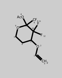 C=COC1CCOC(OC(C)=O)(C(F)(F)F)C1(F)F